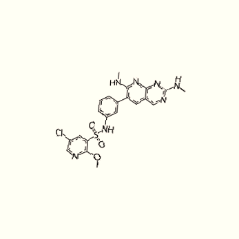 CNc1ncc2cc(-c3cccc(NS(=O)(=O)c4cc(Cl)cnc4OC)c3)c(NC)nc2n1